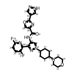 O=C(Nc1cn(C2CCC(N3CCOCC3)CC2)nc1-c1nc(F)ccc1F)c1coc(-c2cn[nH]c2)n1